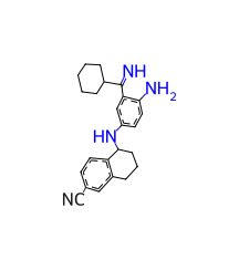 N#Cc1ccc2c(c1)CCCC2Nc1ccc(N)c(C(=N)C2CCCCC2)c1